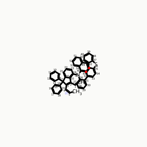 C=CC1=C(/C=C\C)C(c2ccccc2)(c2ccccc2)c2cccc(N(c3ccccc3-c3ccc4sc5ccccc5c4c3)c3cccc4ccccc34)c21